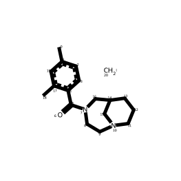 Cc1ccc(C(=O)N2CCN3CCCC(C3)C2)c(C)c1.[CH2]